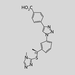 C[C@H](Sc1nncn1C)c1cccc(-n2cc(-c3ccc(C(=O)O)cc3)nn2)c1